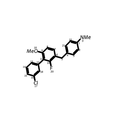 CNc1ccc(Cc2ccc(OC)c(-c3cccc(Cl)c3)c2F)cc1